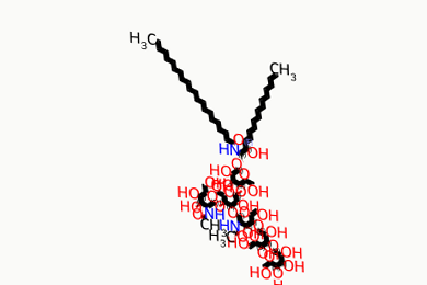 CCCCCCCCCCCCC/C=C/[C@@H](O)[C@H](CO[C@@H]1OC(CO)[C@@H](O[C@@H]2OC(CO)[C@H](O[C@@H]3OC(CO)[C@H](O)[C@H](O)C3NC(C)=O)[C@H](O[C@@H]3OC(CO)[C@@H](O[C@@H]4OC(CO)[C@H](O)[C@H](O[C@H]5OC(CO)[C@H](O)[C@H](O)C5O)C4O)[C@H](O)C3NC(C)=O)C2O)[C@H](O)C1O)NC(=O)CCCCCCCCCCCCCCCCCCCCC